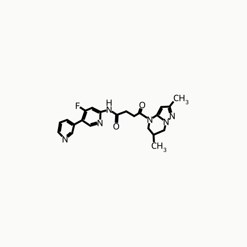 Cc1cc2n(n1)CC(C)CN2C(=O)CCC(=O)Nc1cc(F)c(-c2cccnc2)cn1